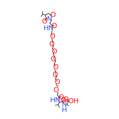 CC(NC(=O)C(NC(=O)CCOCCOCCOCCOCCOCCOCCOCCOCCNC(=O)CCN1C(=O)CC(C(C)C)C1=O)C(C)C)C(=O)O